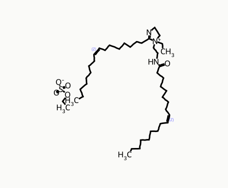 CCCCCCCC/C=C\CCCCCCCC(=O)NCC[N+]1(CC)CCN=C1CCCCCCC/C=C\CCCCCCCC.CCOS(=O)(=O)[O-]